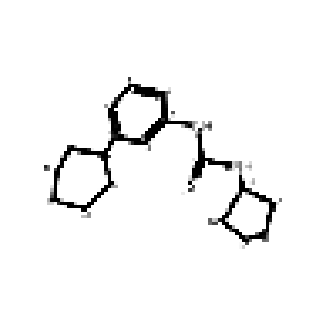 S=C(Nc1cccc(C2CCCCC2)c1)NC1CCCC1